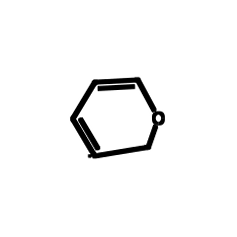 [C]1=CC=COC1